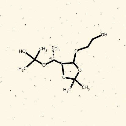 C[C@@H](OC(C)(C)O)C1OC(C)(C)OC1OCCO